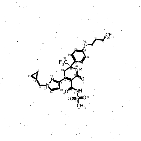 CS(=O)(=O)NC(=O)C1=C(c2ccn(CC3CC3)n2)C[C@](c2ccc(OCCCC(F)(F)F)cc2)(C(F)(F)F)NC1=O